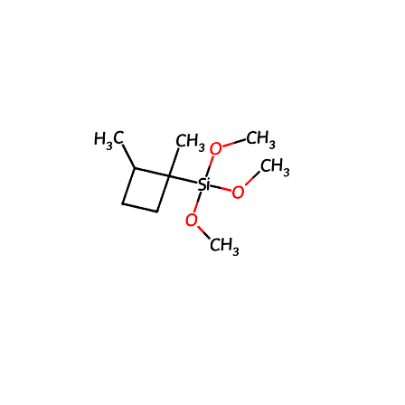 CO[Si](OC)(OC)C1(C)CCC1C